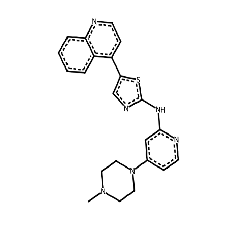 CN1CCN(c2ccnc(Nc3ncc(-c4ccnc5ccccc45)s3)c2)CC1